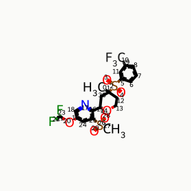 CC1(S(=O)(=O)c2cccc(C(F)(F)F)c2)CCOC(c2ncc(OC(F)F)cc2S(C)(=O)=O)C1